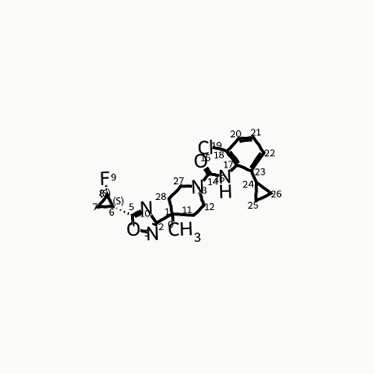 CC1(c2noc([C@@H]3C[C@@H]3F)n2)CCN(C(=O)Nc2c(Cl)cccc2C2CC2)CC1